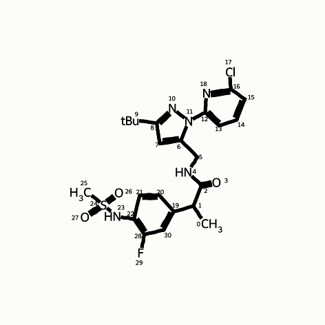 CC(C(=O)NCc1cc(C(C)(C)C)nn1-c1cccc(Cl)n1)c1ccc(NS(C)(=O)=O)c(F)c1